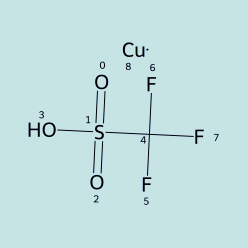 O=S(=O)(O)C(F)(F)F.[Cu]